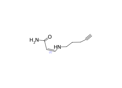 C#CCCCN/C=C\C(N)=O